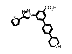 O=C(O)c1cc(-c2ccc(C3CCNCC3)cc2)cc(-n2cc(-c3cccs3)nn2)c1